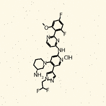 COc1cc(F)cc(F)c1-c1nccc(Nc2cc(N3CCC[C@H](N)C3)c(-c3cnn(CC(F)F)c3)cn2)n1.Cl